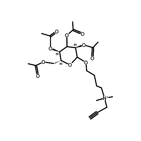 C#CC[N+](C)(C)CCCCOC1O[C@H](COC(C)=O)[C@@H](OC(C)=O)C(OC(C)=O)[C@H]1OC(C)=O